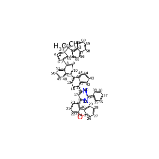 CC1(C)c2cccc(-c3ccc(-c4ccc(-c5cc(-c6cccc7oc8ccccc8c67)nc(-c6ccccc6)n5)c5ccccc45)c4ccccc34)c2-c2ccc3ccccc3c21